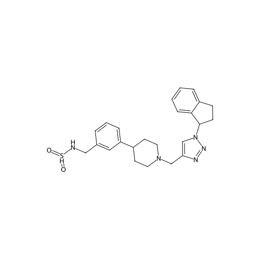 O=[SH](=O)NCc1cccc(C2CCN(Cc3cn(C4CCc5ccccc54)nn3)CC2)c1